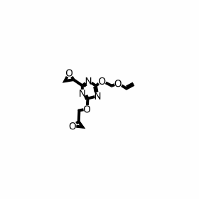 C=COCOc1nc(OCC2CO2)nc(C2CO2)n1